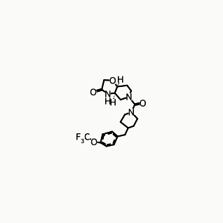 O=C1CO[C@H]2CCN(C(=O)N3CCC(Cc4ccc(OC(F)(F)F)cc4)CC3)C[C@H]2N1